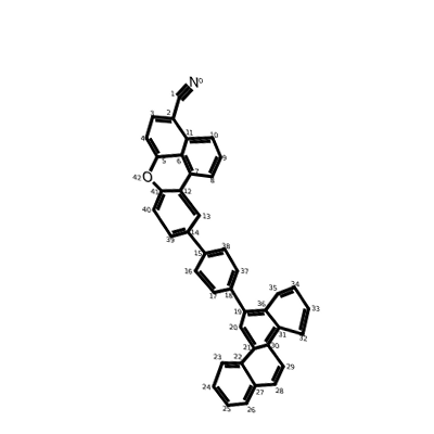 N#Cc1ccc2c3c(cccc13)-c1cc(-c3ccc(-c4cc5c6ccccc6ccc5c5ccccc45)cc3)ccc1O2